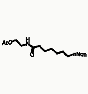 CCCCCCCCCCCCCCCC(=O)NCCOC(C)=O